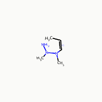 C/C=C\N(C)N(C)N